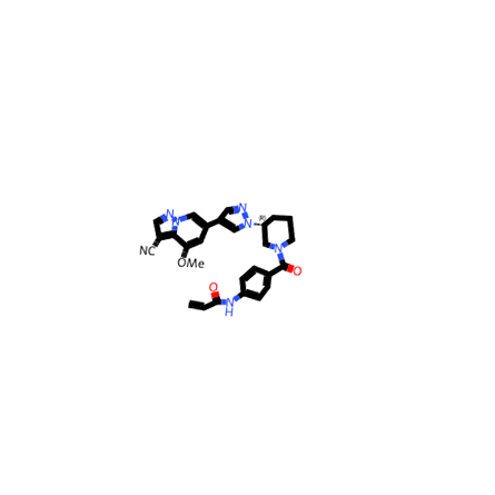 C=CC(=O)Nc1ccc(C(=O)N2CCC[C@@H](n3cc(-c4cc(OC)c5c(C#N)cnn5c4)cn3)C2)cc1